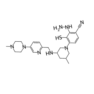 CC1CC(NCc2ccc(N3CCN(C)CC3)cn2)CN(c2ccc(C#N)c(NN)c2S)C1